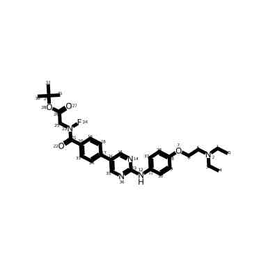 CCN(CC)CCOc1ccc(Nc2ncc(-c3ccc(C(=O)N(F)CC(=O)OC(C)(C)C)cc3)cn2)cc1